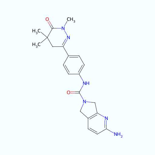 CN1N=C(c2ccc(NC(=O)N3Cc4ccc(N)nc4C3)cc2)CC(C)(C)C1=O